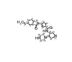 CSc1ccc2c(c1)C(=O)N(c1ccc(C(=O)Nc3cnccc3N3CCNCC3)s1)C2